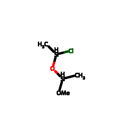 CO[SiH](C)O[SiH](C)Cl